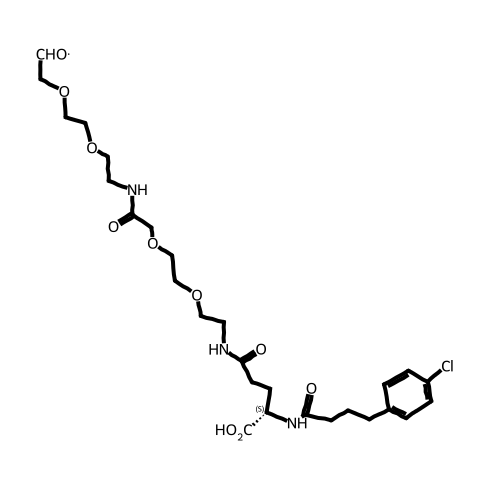 O=[C]COCCOCCNC(=O)COCCOCCNC(=O)CC[C@H](NC(=O)CCCc1ccc(Cl)cc1)C(=O)O